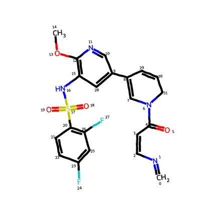 C=N/C=C\C(=O)N1C=C(c2cnc(OC)c(NS(=O)(=O)c3ccc(F)cc3F)c2)C=CC1